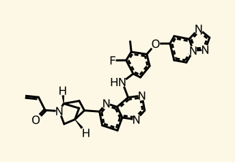 C=CC(=O)N1C[C@@H]2C[C@H]1CC2c1ccc2ncnc(Nc3ccc(Oc4ccn5ncnc5c4)c(C)c3F)c2n1